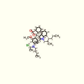 CCCCC(C)Cn1c(C)c(C2(c3ccc(N(CCCC)C(C)Br)cc3OC)OC(=O)c3ccccc32)c2ccccc21